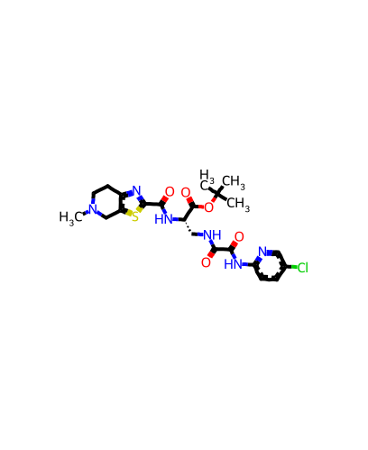 CN1CCc2nc(C(=O)N[C@@H](CNC(=O)C(=O)Nc3ccc(Cl)cn3)C(=O)OC(C)(C)C)sc2C1